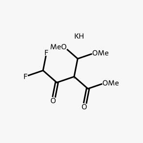 COC(=O)[C](C(=O)C(F)F)C(OC)OC.[KH]